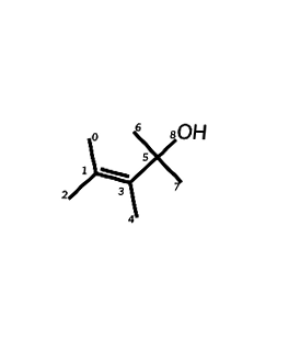 CC(C)=C(C)C(C)(C)O